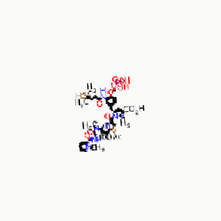 CC[C@H](C)[C@H](NC(=O)[C@H]1CCCCN1C)C(=O)N(C)[C@H](C[C@@H](OC(C)=O)c1nc(C(=O)N[C@@H](Cc2ccc(OCOP(=O)(O)O)c(NC(=O)CCC(C)(C)S)c2)CC(C)C(=O)O)cs1)C(C)C